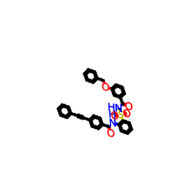 O=C(Nc1ccccc1S(=O)(=O)NC(=O)c1cccc(OCc2ccccc2)c1)c1ccc(C#Cc2ccccc2)cc1